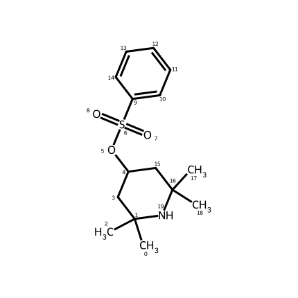 CC1(C)CC(OS(=O)(=O)c2ccccc2)CC(C)(C)N1